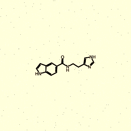 O=C(NCCc1c[nH]cn1)c1ccc2[nH]ccc2c1